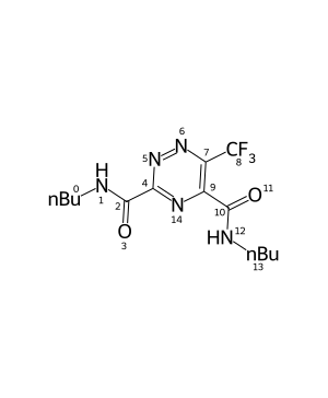 CCCCNC(=O)c1nnc(C(F)(F)F)c(C(=O)NCCCC)n1